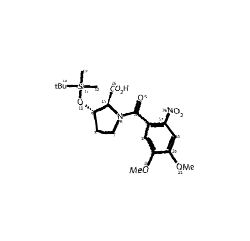 COc1cc(C(=O)N2CC[C@H](O[Si](C)(C)C(C)(C)C)[C@H]2C(=O)O)c([N+](=O)[O-])cc1OC